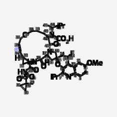 COc1ccc2nc(C(C)C)c3c(c2c1)[C@H](F)C[C@]1(C[C@H]2C(=O)N[C@]4(C(=O)NS(=O)(=O)C5(C)CC5)C[C@H]4/C=C\CCCCC[C@H](N(C(=O)O)[C@@H](C)C(C)C)C(=O)N2C1)O3